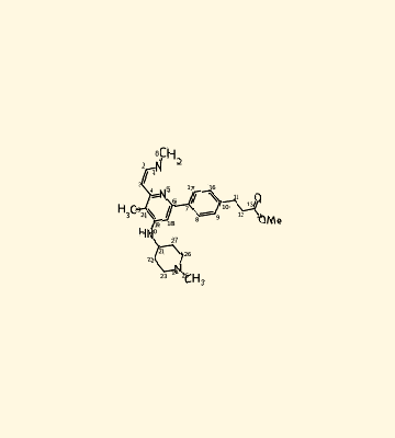 C=N/C=C\c1nc(-c2ccc(CCC(=O)OC)cc2)cc(NC2CCN(C)CC2)c1C